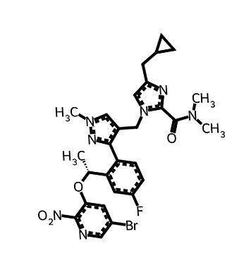 C[C@@H](Oc1cc(Br)cnc1[N+](=O)[O-])c1cc(F)ccc1-c1nn(C)cc1Cn1cc(CC2CC2)nc1C(=O)N(C)C